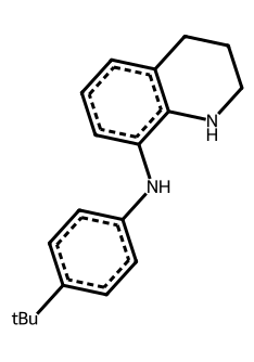 CC(C)(C)c1ccc(Nc2cccc3c2NCCC3)cc1